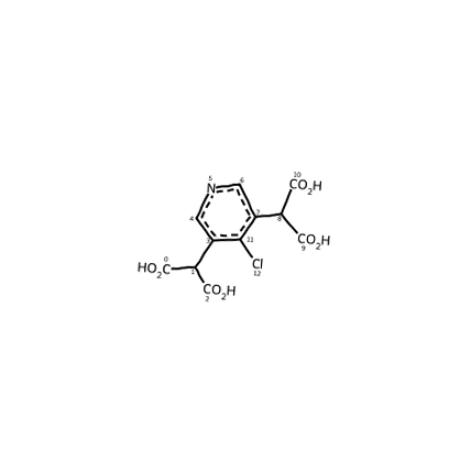 O=C(O)C(C(=O)O)c1cncc(C(C(=O)O)C(=O)O)c1Cl